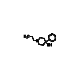 CCCN1CCC(O)(c2ccccc2)CC1